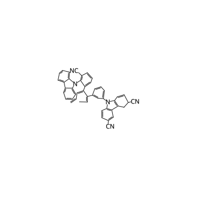 C=C/C=C(\C(=C/C)c1cccc(-n2c3c(c4cc(C#N)ccc42)CC(C#N)C=C3)c1)c1cccc(C#N)c1-n1c2ccccc2c2ccccc21